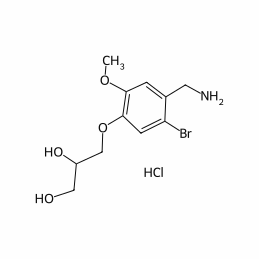 COc1cc(CN)c(Br)cc1OCC(O)CO.Cl